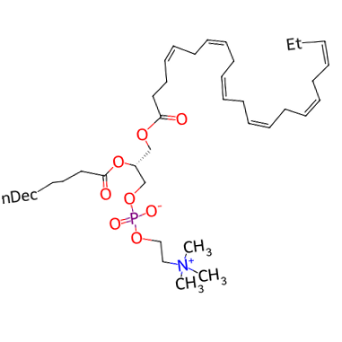 CC/C=C\C/C=C\C/C=C\C/C=C\C/C=C\C/C=C\CCC(=O)OC[C@H](COP(=O)([O-])OCC[N+](C)(C)C)OC(=O)CCCCCCCCCCCCC